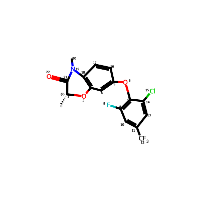 C[C@H]1Oc2cc(Oc3c(F)cc(C(F)(F)F)cc3Cl)ccc2N(C)C1=O